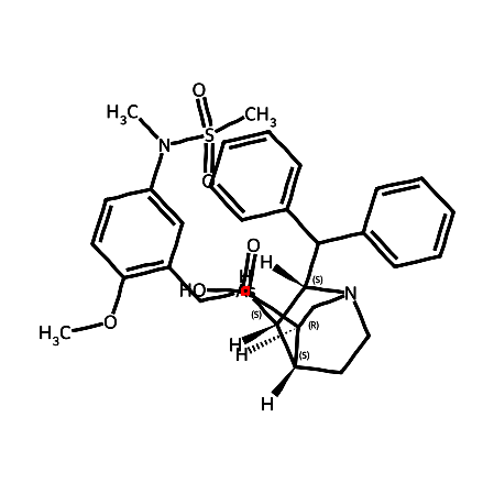 COc1ccc(N(C)S(C)(=O)=O)cc1C[AsH][C@H]1[C@H]2CCN(C[C@@H]2C(=O)O)[C@H]1C(c1ccccc1)c1ccccc1